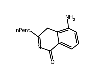 CCCCCC1=NC(=O)c2cccc(N)c2C1